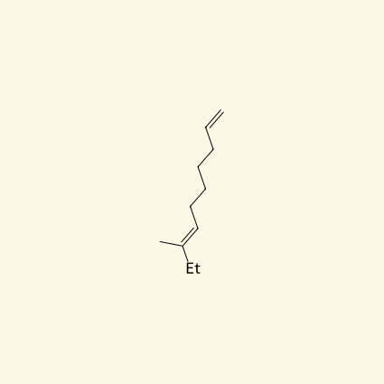 C=CCCCC/C=C(\C)CC